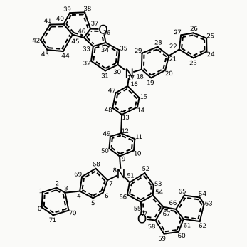 c1ccc(-c2ccc(N(c3ccc(-c4ccc(N(c5ccc(-c6ccccc6)cc5)c5ccc6c(c5)oc5ccc7ccccc7c56)cc4)cc3)c3ccc4c(c3)oc3ccc5ccccc5c34)cc2)cc1